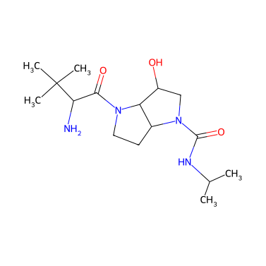 CC(C)NC(=O)N1CC(O)C2C1CCN2C(=O)C(N)C(C)(C)C